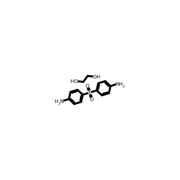 Nc1ccc(S(=O)(=O)c2ccc(N)cc2)cc1.OCCO